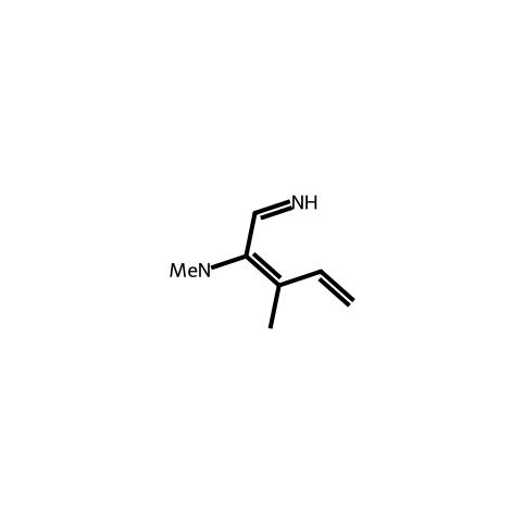 C=C/C(C)=C(\C=N)NC